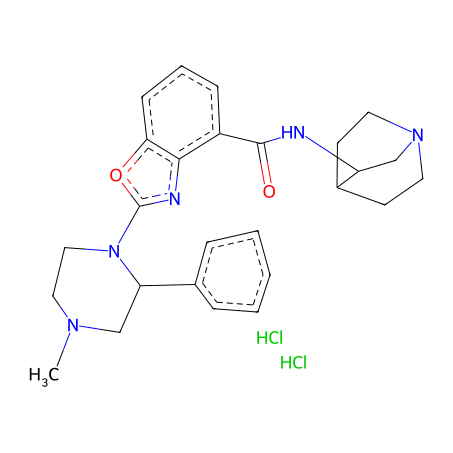 CN1CCN(c2nc3c(C(=O)NC4CN5CCC4CC5)cccc3o2)C(c2ccccc2)C1.Cl.Cl